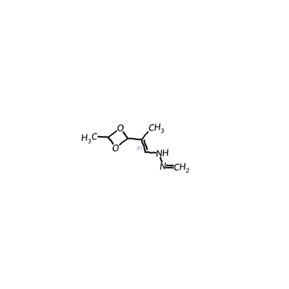 C=NN/C=C(\C)C1OC(C)O1